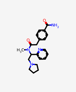 CN(C(=O)Cc1ccc(C(N)=O)cc1)C(CN1CCCC1)c1ccccn1